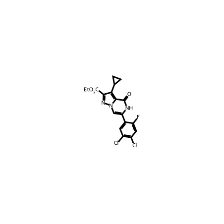 CCOC(=O)c1nn2cc(-c3cc(Cl)c(Cl)cc3F)[nH]c(=O)c2c1C1CC1